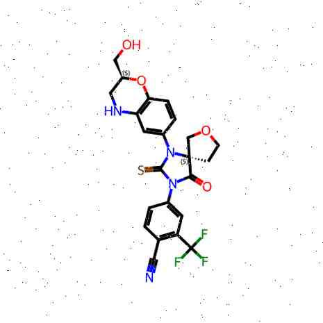 N#Cc1ccc(N2C(=O)[C@@]3(CCOC3)N(c3ccc4c(c3)NC[C@@H](CO)O4)C2=S)cc1C(F)(F)F